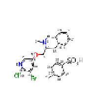 CN(C)[C@H](COc1cnc(Cl)c(Br)c1)Cc1ccccc1.Cc1ccc(S(=O)(=O)O)cc1